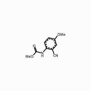 COC(=O)Nc1ccc(OC)cc1C#N